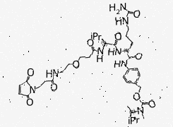 CC(C)[C@H](NC(=O)CCOCCNC(=O)CCN1C(=O)C=CC1=O)C(=O)N[C@@H](CCCNC(N)=O)C(=O)Nc1ccc(COC(=O)N(C)[C@H](C)C(C)C)cc1